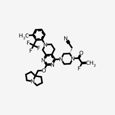 C=C(F)C(=O)N1CCN(c2nc(OCC34CCCN3CCC4)nc3c2CCN(c2cccc(C)c2C(F)(F)F)C3)C[C@@H]1CC#N